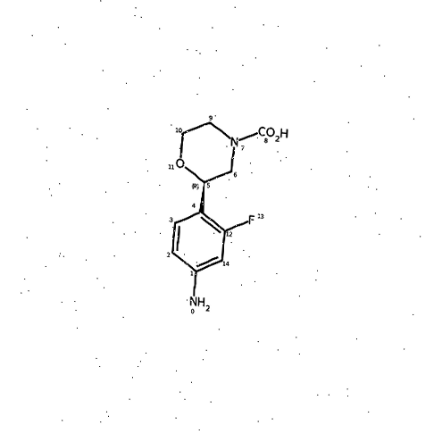 Nc1ccc([C@@H]2CN(C(=O)O)CCO2)c(F)c1